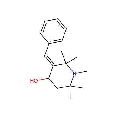 CN1C(C)(C)CC(O)C(=Cc2ccccc2)C1(C)C